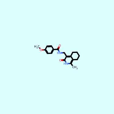 COc1ccc(C(=O)NCc2c3c(c(C)[nH]c2=O)CCCC3)cc1